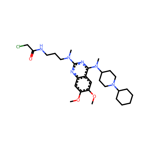 COc1cc2nc(N(C)CCCNC(=O)CCl)nc(N(C)C3CCN(C4CCCCC4)CC3)c2cc1OC